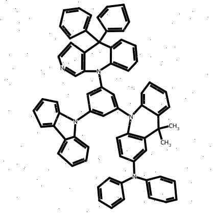 CC1(C)c2ccccc2N(c2cc(N3c4ccccc4C(c4ccccc4)(c4ccccc4)c4ccncc43)cc(-n3c4ccccc4c4ccccc43)c2)c2ccc(N(c3ccccc3)c3ccccc3)cc21